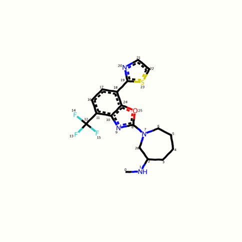 CNC1CCCCN(c2nc3c(C(F)(F)F)ccc(-c4nccs4)c3o2)C1